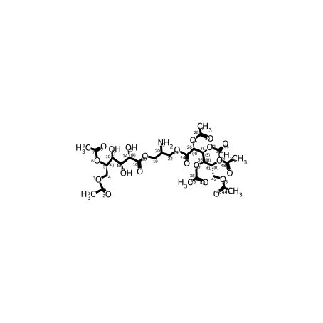 CC(=O)OC[C@@H](OC(C)=O)[C@@H](O)[C@H](O)[C@@H](O)C(=O)OCC(N)COC(=O)[C@H](OC(C)=O)[C@@H](OC(C)=O)[C@H](OC(C)=O)[C@@H](COC(C)=O)OC(C)=O